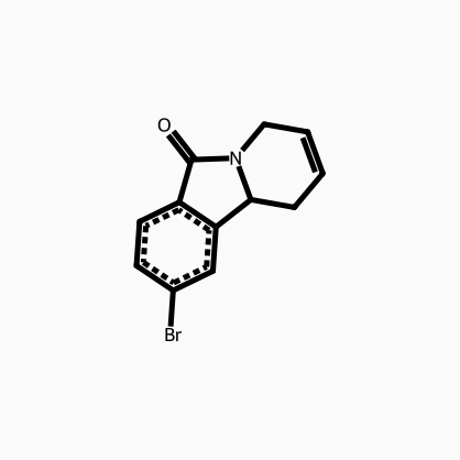 O=C1c2ccc(Br)cc2C2CC=CCN12